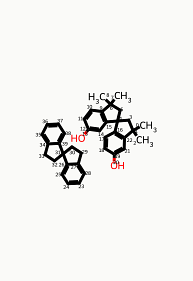 CC1(C)CC2(CC(C)(C)c3ccc(O)cc32)c2ccc(O)cc21.c1ccc2c(c1)CCC21CCc2ccccc21